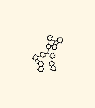 c1cc(-c2ccc3ccccc3c2)cc(N(c2ccc(-c3ccccc3-n3c4ccccc4c4ccccc43)cc2)c2ccc(-c3cccc4oc5c6ccccc6ccc5c34)cc2)c1